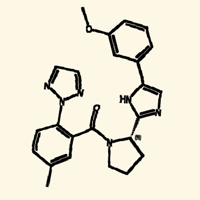 COc1cccc(-c2cnc([C@@H]3CCCN3C(=O)c3cc(C)ccc3-n3nccn3)[nH]2)c1